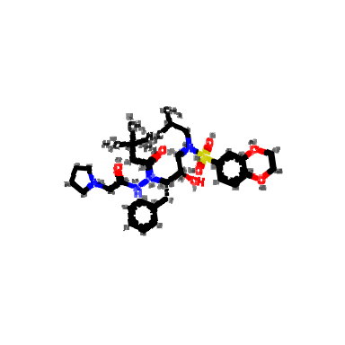 CC(C)CN(C[C@@H](O)[C@H](Cc1ccccc1)N(NC(=O)CN1CCCC1)C(=O)CC(C)(C)C)S(=O)(=O)c1ccc2c(c1)OCCO2